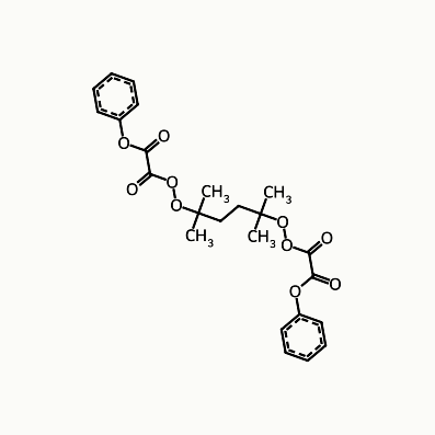 CC(C)(CCC(C)(C)OOC(=O)C(=O)Oc1ccccc1)OOC(=O)C(=O)Oc1ccccc1